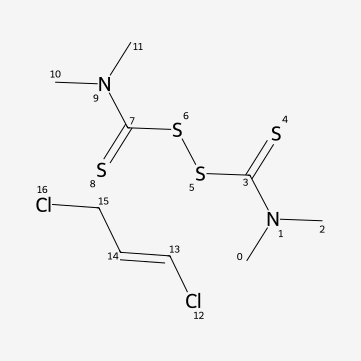 CN(C)C(=S)SSC(=S)N(C)C.ClC=CCCl